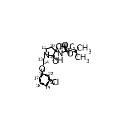 CC(C)(C)OC(=O)NC1(C)CCN(CCOc2cccc(Cl)c2)C1=O